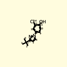 CC(C)(C)c1ccn(-c2ccc(O)c(Cl)c2)n1